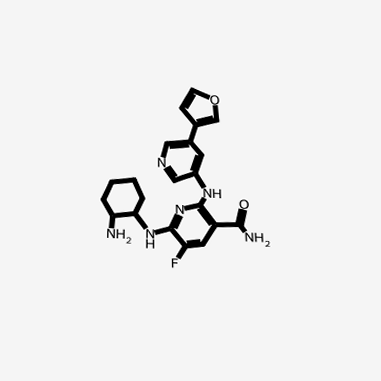 NC(=O)c1cc(F)c(NC2CCCCC2N)nc1Nc1cncc(-c2ccoc2)c1